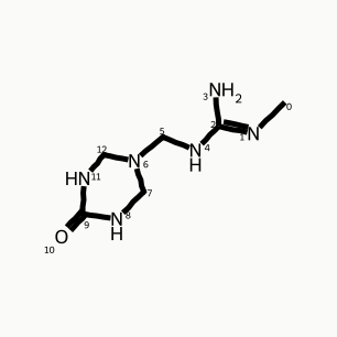 C/N=C(\N)NCN1CNC(=O)NC1